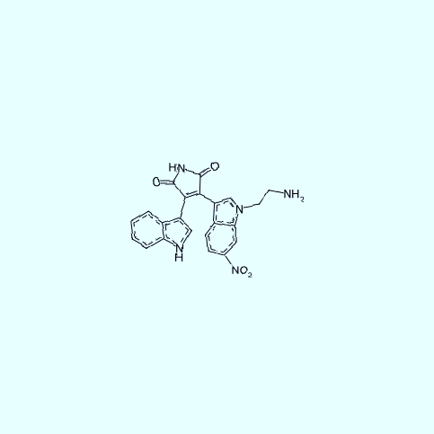 NCCn1cc(C2=C(c3c[nH]c4ccccc34)C(=O)NC2=O)c2ccc([N+](=O)[O-])cc21